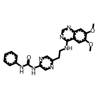 COc1cc2ncnc(NCCc3cnc(NC(=O)Nc4ccccc4)cn3)c2cc1OC